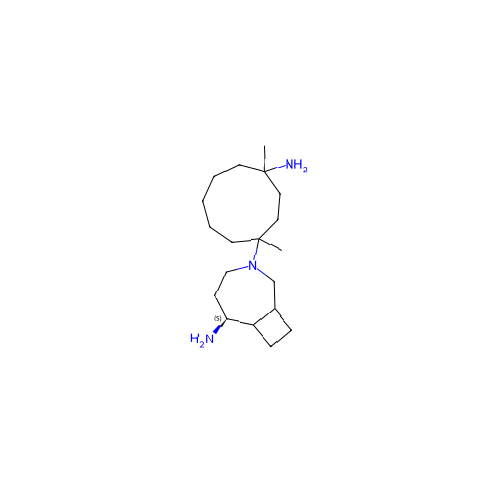 CC1(N)CCCCCC(C)(N2CC[C@H](N)C3CCC3C2)CC1